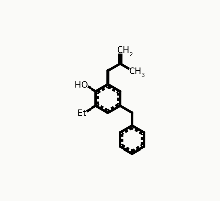 C=C(C)Cc1cc(Cc2ccccc2)cc(CC)c1O